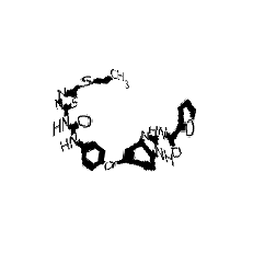 CCSc1nnc(NC(=O)Nc2ccc(Oc3ccc4[nH]c(NC(=O)c5ccco5)nc4c3)cc2)s1